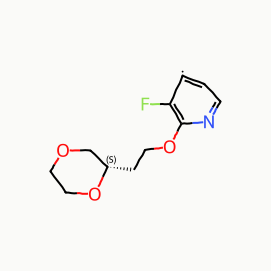 Fc1[c]ccnc1OCC[C@H]1COCCO1